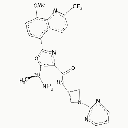 COc1ccc(-c2nc(C(=O)NC3CN(c4ncccn4)C3)c([C@H](C)N)o2)c2ccc(C(F)(F)F)nc12